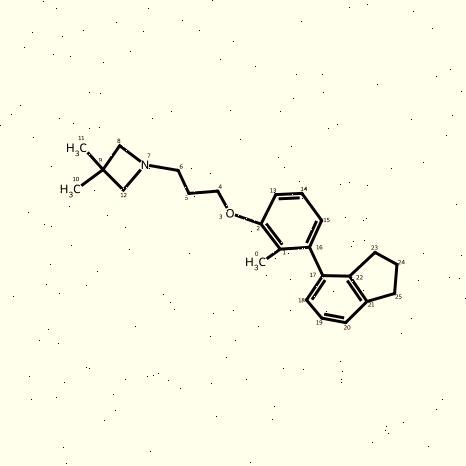 Cc1c(OCCCN2CC(C)(C)C2)cccc1-c1cccc2c1CCC2